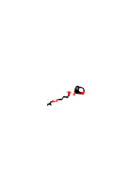 CCC(C)(C)C(=O)OCCCCC(=O)OC1C2CC3CC(C2)CC1C3